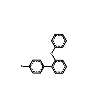 Fc1ccc(-c2cc[c]cc2Oc2ccccc2)cc1